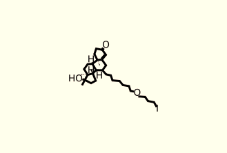 CC1(O)CC[C@H]2[C@@H]3C(CCCCCCCOCCCCI)CC4=CC(=O)CC[C@]4(C)[C@@H]3CC[C@@]21C